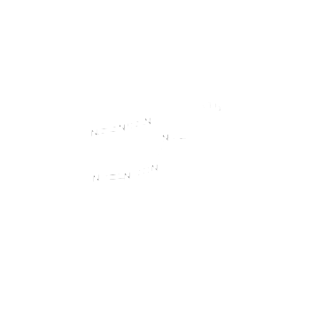 CCN(N=[N+]=[N-])N=[N+]=[N-]